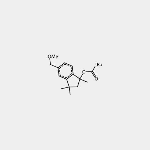 COCc1ccc2c(c1)C(C)(C)CC2(C)OC(=O)C(C)(C)C